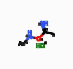 CC(=N)ONC(C)=O.Cl